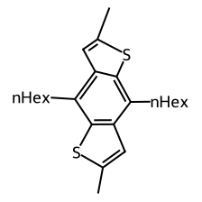 CCCCCCc1c2cc(C)sc2c(CCCCCC)c2cc(C)sc12